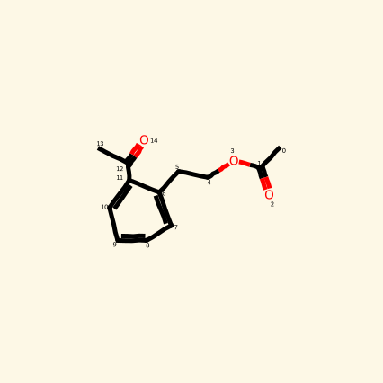 CC(=O)OCCc1ccccc1C(C)=O